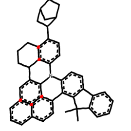 CC1(C)c2ccccc2-c2ccc(N(c3ccc(C4CC5CCC4C5)cc3)c3ccccc3C3CCCCC3)c(-c3ccc4ccccc4c3)c21